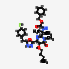 CCCCOc1c(-c2nnc(Cc3ccc(F)cc3)o2)nc(C(C)(C)NC(=O)OCc2ccccc2)n(C)c1=O